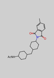 CC(=O)NC1CCC(CC2CCC(N3C(=O)c4ccc(C)cc4C3=O)CC2)CC1